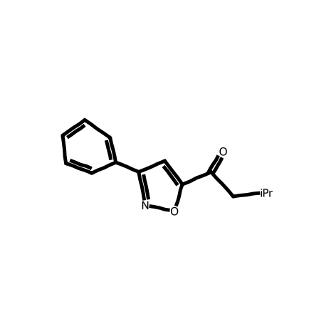 CC(C)CC(=O)c1cc(-c2ccccc2)no1